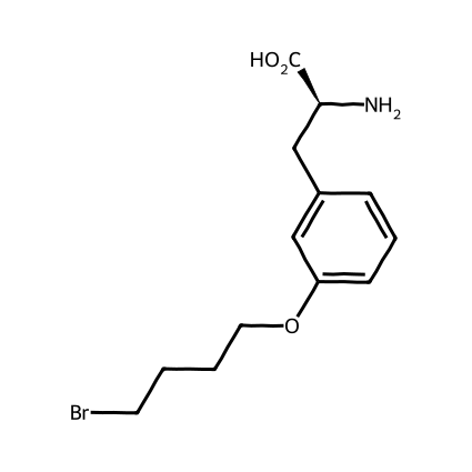 N[C@@H](Cc1cccc(OCCCCBr)c1)C(=O)O